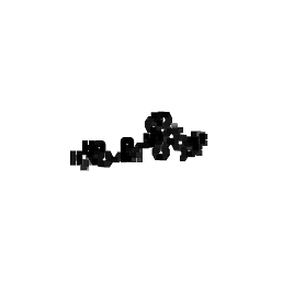 CC[N+]1=c2cc3c(cc2C(C)CC1(C)C)=C(c1ccccc1C(=O)N(C)CCCC(=O)NCCc1ccc(N)c(O)c1)c1cc2c4c(c1C3(C)C)CCCN4CCC2